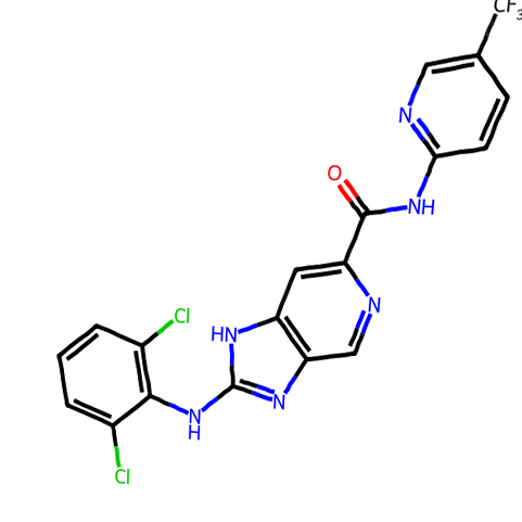 O=C(Nc1ccc(C(F)(F)F)cn1)c1cc2[nH]c(Nc3c(Cl)cccc3Cl)nc2cn1